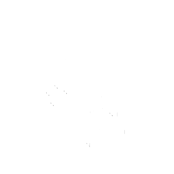 CC(NC(=O)Oc1cc(-c2ccc(Cl)cc2Cl)cc(-n2cnnn2)c1)c1cccnc1